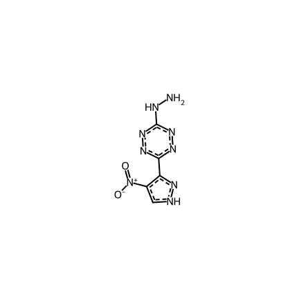 NNc1nnc(-c2n[nH]cc2[N+](=O)[O-])nn1